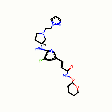 O=C(C=Cc1cnc(N[C@@H]2CCN(CCn3cccn3)C2)c(F)c1)NOC1CCCCO1